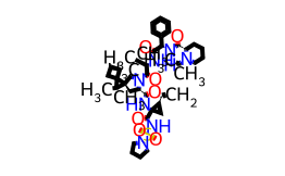 C=C[C@@H]1C[C@]1(NC(=O)[C@@H]1C[C@@]2(CN1C(=O)[C@@H](NC(=O)[C@@H](NC(=O)[C@@H]1CCCCN1C(C)C)c1ccccc1)C(C)(C)C)C(C)(C)C21CCC1)C(=O)NS(=O)(=O)N1CCCC1